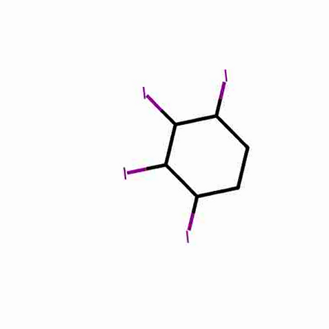 IC1CCC(I)C(I)C1I